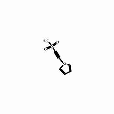 CS(=O)(=O)C#C[SH]1C=CC=C1